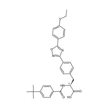 CCSc1ccc(-c2nc(-c3ccc(C[C@H](NC(=O)c4ccc(C(C)(C)C)cc4)C(=O)O)cc3)no2)cc1